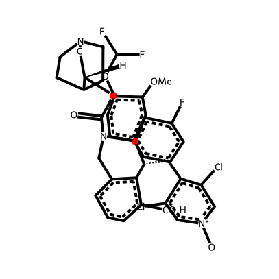 COc1cc([C@H](Cc2c(Cl)c[n+]([O-])cc2Cl)c2c(CN(C(=O)O[C@H]3CN4CCC3CC4)c3cccc(F)c3)cccc2C(=O)O)ccc1OC(F)F